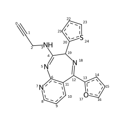 C#CCNC1=Nc2ncccc2C(c2ccco2)=NC1c1cccs1